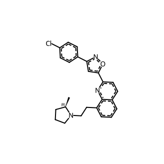 C[C@@H]1CCCN1CCc1cccc2ccc(-c3cc(-c4ccc(Cl)cc4)no3)nc12